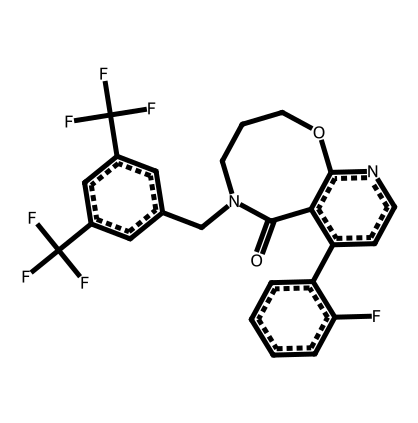 O=C1c2c(-c3ccccc3F)ccnc2OCCCN1Cc1cc(C(F)(F)F)cc(C(F)(F)F)c1